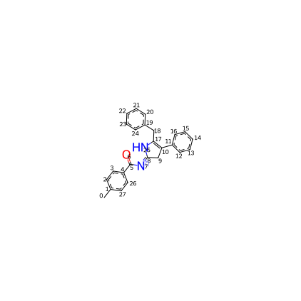 Cc1ccc(C(=O)/N=C2/CC(c3ccccc3)=C(Cc3ccccc3)N2)cc1